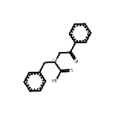 O=C(C[C@H](Cc1ccccc1)C(=O)S)c1ccccc1